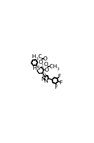 CC(=O)OC[C@@H]1[C@H](OC(C)=O)[C@H](n2cc(-c3cc(F)c(F)c(F)c3)nn2)CC[SH]1c1ccccc1